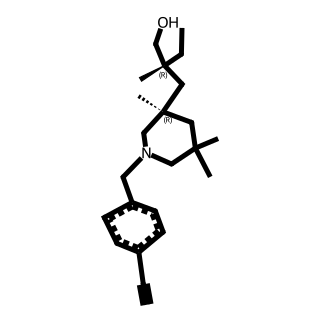 C#Cc1ccc(CN2CC(C)(C)C[C@](C)(C[C@@](C)(CC)CO)C2)cc1